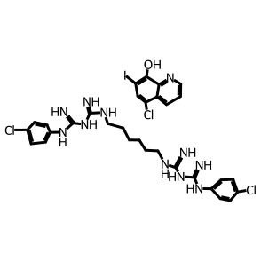 N=C(NCCCCCCNC(=N)NC(=N)Nc1ccc(Cl)cc1)NC(=N)Nc1ccc(Cl)cc1.Oc1c(I)cc(Cl)c2cccnc12